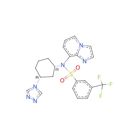 O=S(=O)(c1cccc(C(F)(F)F)c1)N(c1cccn2ccnc12)[C@H]1CCC[C@@H](n2cnnc2)C1